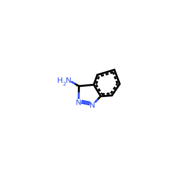 N[C]1N=Nc2ccccc21